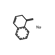 C=C1CC=Cc2ccccc21.[Na]